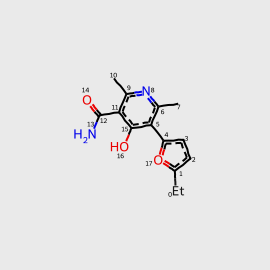 CCc1ccc(-c2c(C)nc(C)c(C(N)=O)c2O)o1